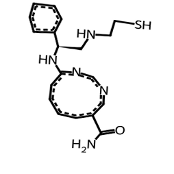 NC(=O)c1ccccc(N[C@H](CNCCS)c2ccccc2)ncnc1